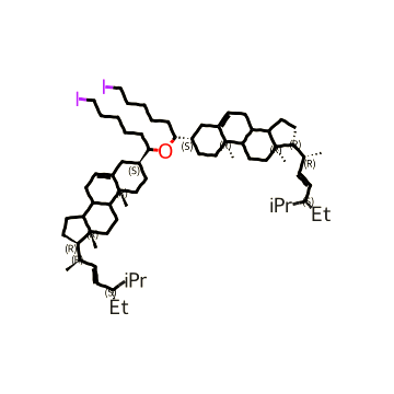 CC[C@H](C=C[C@@H](C)[C@H]1CCC2C3CC=C4C[C@@H](C(CCCCCI)OC(CCCCCI)[C@H]5CC[C@@]6(C)C(=CCC7C6CC[C@@]6(C)C7CC[C@@H]6[C@H](C)C=C[C@@H](CC)C(C)C)C5)CC[C@]4(C)C3CC[C@@]21C)C(C)C